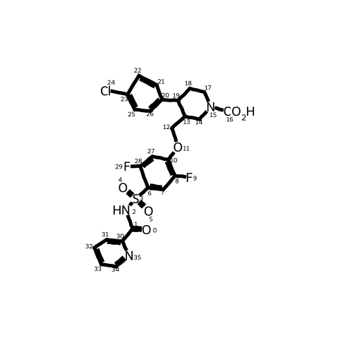 O=C(NS(=O)(=O)c1cc(F)c(OCC2CN(C(=O)O)CCC2c2ccc(Cl)cc2)cc1F)c1ccccn1